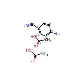 CC(=O)O.CC(=O)O.N#Cc1ccc(I)cc1